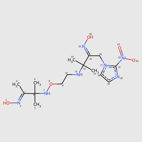 C/C(=N\O)C(C)(C)NOCCNC(C)(C)/C(Cn1ccnc1[N+](=O)[O-])=N/O